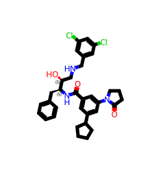 O=C(N[C@@H](Cc1ccccc1)[C@@H](O)CNCc1cc(Cl)cc(Cl)c1)c1cc(C2CCCC2)cc(N2CCCC2=O)c1